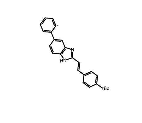 CC(C)(C)c1ccc(/C=C/c2nc3cc(-c4[c]cccc4)ccc3[nH]2)cc1